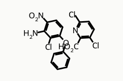 Nc1c([N+](=O)[O-])ccc(Oc2ccccc2)c1Cl.O=C(O)c1nc(Cl)ccc1Cl